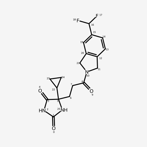 O=C1NC(=O)C(CCC(=O)N2Cc3ccc(C(F)F)cc3C2)(C2CC2)N1